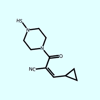 N#C/C(=C/C1CC1)C(=O)N1CCN(S)CC1